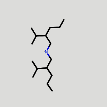 CCCC(C[N]CC(CCC)C(C)C)C(C)C